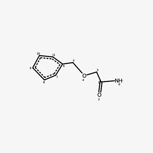 [NH]C(=O)COCc1ccccc1